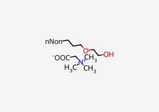 CCCCCCCCCCCCOCCO.C[N+](C)(C)CC(=O)[O-]